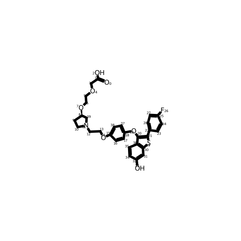 O=C(O)COCCO[C@@H]1CCN(CCOc2ccc(Oc3c(-c4ccc(F)cc4)sc4cc(O)ccc34)cc2)C1